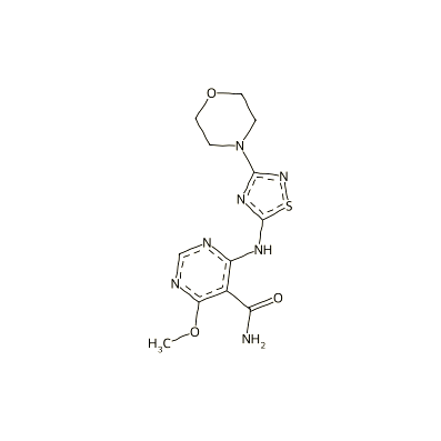 COc1ncnc(Nc2nc(N3CCOCC3)ns2)c1C(N)=O